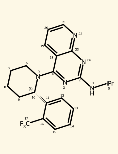 CC(C)Nc1nc(N2CCCC[C@H]2c2ccccc2C(F)(F)F)c2cccnc2n1